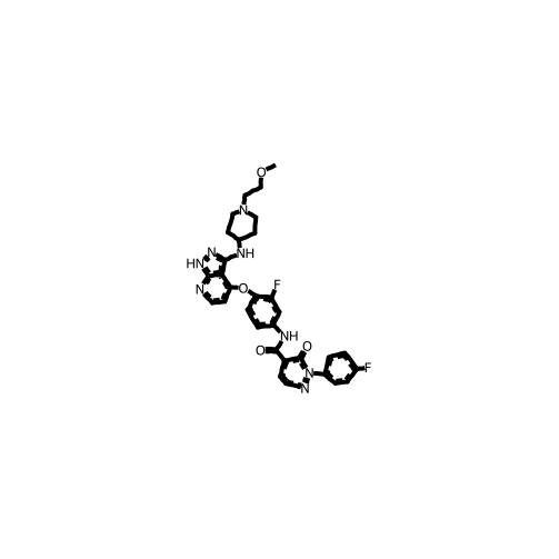 COCCN1CCC(Nc2n[nH]c3nccc(Oc4ccc(NC(=O)c5ccnn(-c6ccc(F)cc6)c5=O)cc4F)c23)CC1